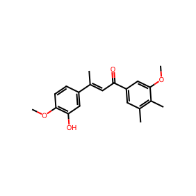 COc1ccc(/C(C)=C/C(=O)c2cc(C)c(C)c(OC)c2)cc1O